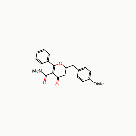 CNC(=O)C1=C(c2ccccc2)OC(Cc2ccc(OC)cc2)CC1=O